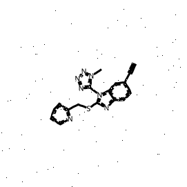 C#Cc1ccc2nc(SCc3ccccn3)n(-c3nnnn3C)c2c1